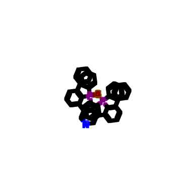 S=P(c1ccccc1)(c1ccccc1)c1c(-c2ccccc2)cccc1-c1cncc(-c2cccc(-c3ccccc3)c2P(=S)(c2ccccc2)c2ccccc2)c1